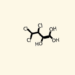 OC(O)=C(O)C(Cl)C(Cl)Cl